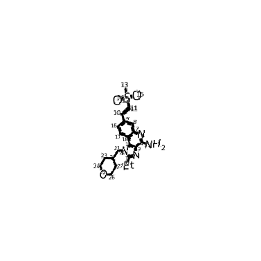 CCc1nc2c(N)nc3cc(C=CS(C)(=O)=O)ccc3c2n1CC1CCOCC1